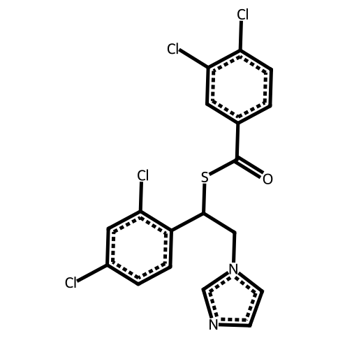 O=C(SC(Cn1ccnc1)c1ccc(Cl)cc1Cl)c1ccc(Cl)c(Cl)c1